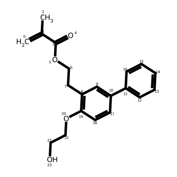 C=C(C)C(=O)OCCc1cc(-c2ccccc2)ccc1OCCO